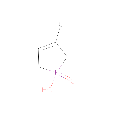 CC1=CCP(=O)(O)C1